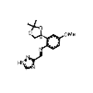 COc1ccc(N=Cc2nc[nH]n2)c([C@H]2COC(C)(C)O2)c1